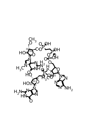 COC[C@H]1[C@@H](O)[C@H](n2c[n+](C)c3c(=O)[nH]c(N)nc32)O[C@@H]1COP(=O)(O)CCP(=O)(O)OP(=O)(O)OCC1O[C@@H](n2cnc3c(N)ncnc32)[C@H](OC)[C@@H]1PP(=O)(O)OC[C@H]1O[C@@H](n2cnc3c(=O)[nH]c(N)nc32)[C@H](O)[C@@H]1O